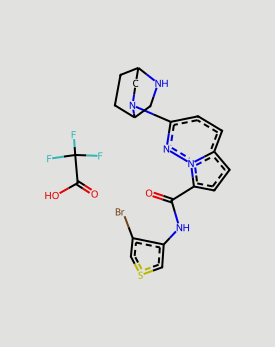 O=C(Nc1cscc1Br)c1ccc2ccc(N3CC4CCC3CN4)nn12.O=C(O)C(F)(F)F